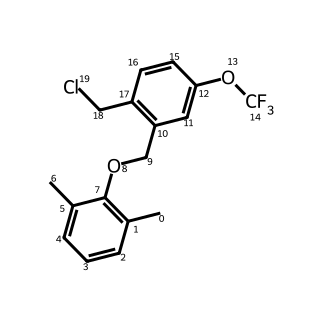 Cc1cccc(C)c1OCc1cc(OC(F)(F)F)ccc1CCl